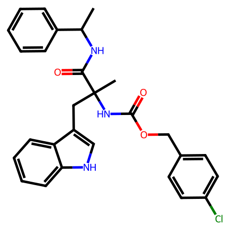 CC(NC(=O)C(C)(Cc1c[nH]c2ccccc12)NC(=O)OCc1ccc(Cl)cc1)c1ccccc1